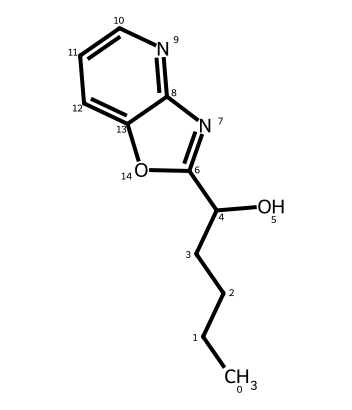 CCCCC(O)c1nc2ncccc2o1